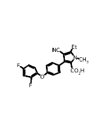 CCc1c(C#N)c(-c2ccc(Oc3ccc(F)cc3F)cc2)c(C(=O)O)n1C